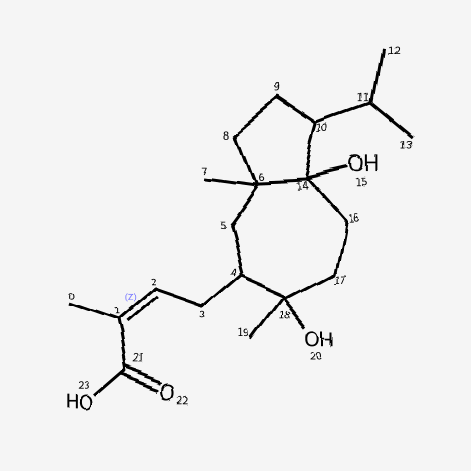 C/C(=C/CC1CC2(C)CCC(C(C)C)C2(O)CCC1(C)O)C(=O)O